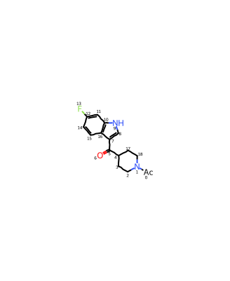 CC(=O)N1CCC(C(=O)c2c[nH]c3cc(F)ccc23)CC1